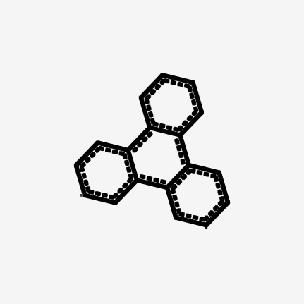 [c]1ccc2c(c1)c1c[c]ccc1c1ccccc21